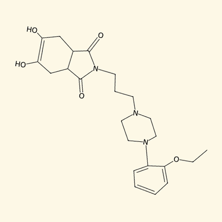 CCOc1ccccc1N1CCN(CCCN2C(=O)C3CC(O)=C(O)CC3C2=O)CC1